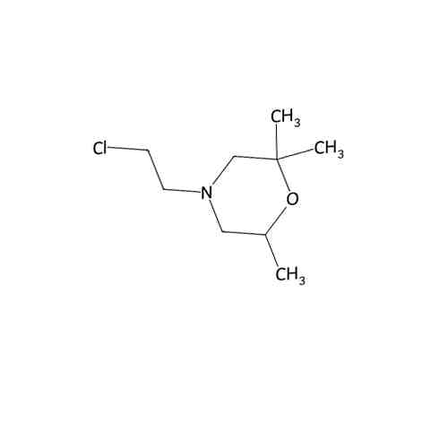 CC1CN(CCCl)CC(C)(C)O1